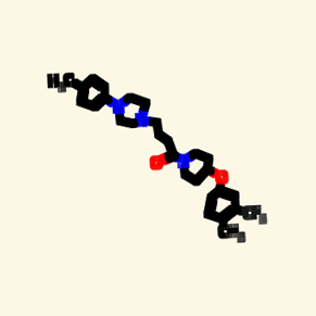 Cc1ccc(N2CCN(CCCC(=O)N3CCC(Oc4ccc(C)c(C(F)(F)F)c4)CC3)CC2)cc1